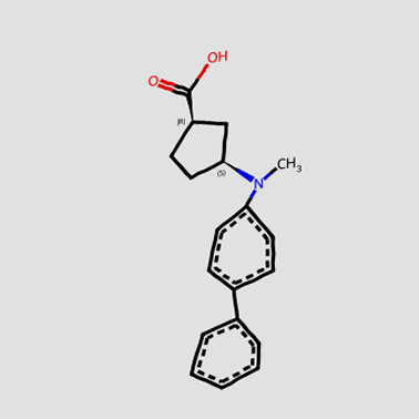 CN(c1ccc(-c2ccccc2)cc1)[C@H]1CC[C@@H](C(=O)O)C1